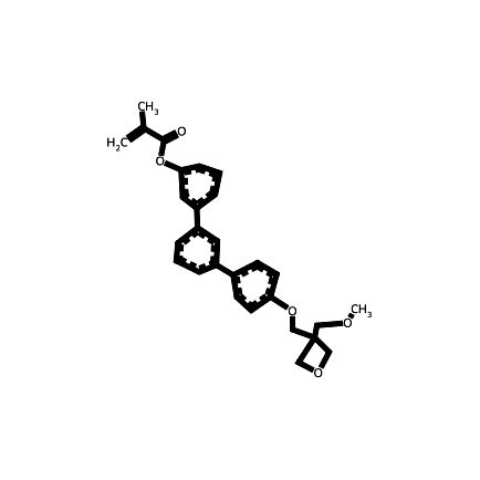 C=C(C)C(=O)Oc1cccc(-c2cccc(-c3ccc(OCC4(COC)COC4)cc3)c2)c1